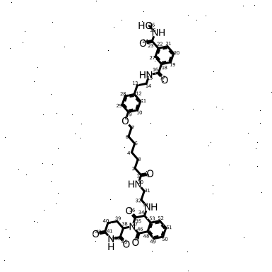 O=C(CCCCCCOc1ccc(CCNC(=O)c2cccc(C(=O)NO)c2)cc1)NCCNC1C(=O)N(C2CCC(=O)NC2=O)C(=O)c2ccccc21